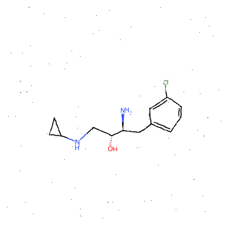 N[C@@H](Cc1cccc(Cl)c1)[C@H](O)CNC1CC1